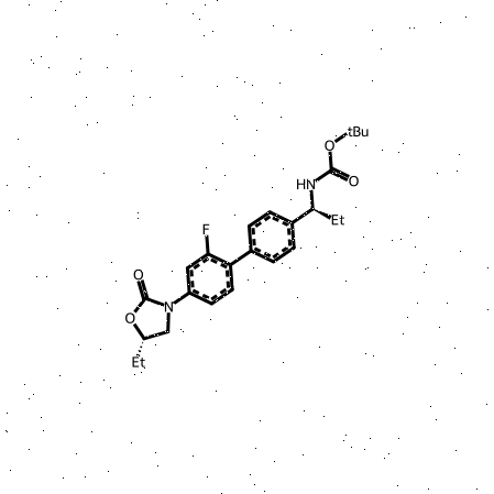 CC[C@H]1CN(c2ccc(-c3ccc([C@H](CC)NC(=O)OC(C)(C)C)cc3)c(F)c2)C(=O)O1